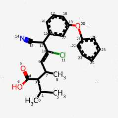 CC(C)C(C(=O)O)C(C)C=C(Cl)C(C#N)c1cccc(Oc2ccccc2)c1